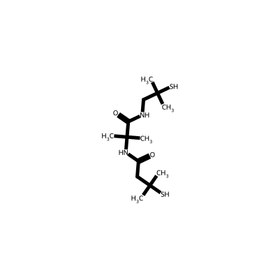 CC(C)(S)CNC(=O)C(C)(C)NC(=O)CC(C)(C)S